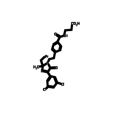 CC(C)CC1(C)N=C(c2cc(Cl)cc(Cl)c2)C(=O)N1CCc1ccc(C(=O)NCCC(=O)O)cc1